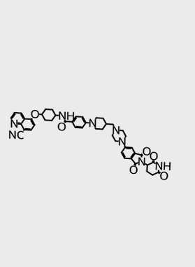 N#Cc1ccc(OC2CCC(NC(=O)c3ccc(N4CCC(CN5CCN(c6ccc7c(c6)C(=O)N(C6CCC(=O)NC6=O)C7=O)CC5)CC4)cc3)CC2)c2cccnc12